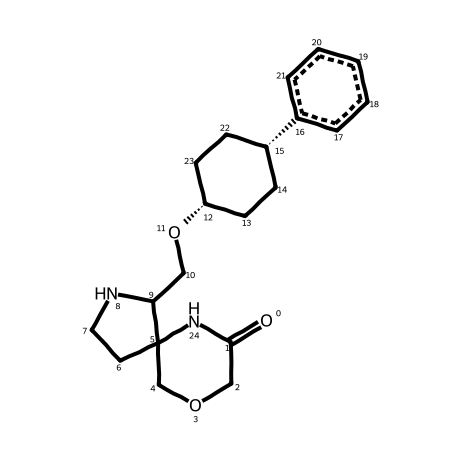 O=C1COCC2(CCNC2CO[C@H]2CC[C@@H](c3ccccc3)CC2)N1